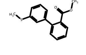 COC(=O)c1ccccc1-c1cccc(SC)c1